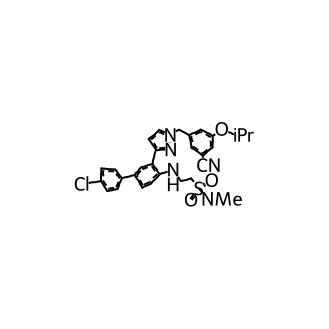 CNS(=O)(=O)CCNc1ccc(-c2ccc(Cl)cc2)cc1-c1ccn(Cc2cc(C#N)cc(OC(C)C)c2)n1